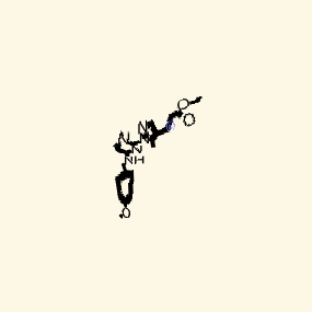 CCOC(=O)/C=C/c1cnn(-c2nccc(NCc3ccc(OC)cc3)n2)c1C